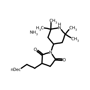 CCCCCCCCCCCCC1CC(=O)N(C2CC(C)(C)NC(C)(C)C2)C1=O.N